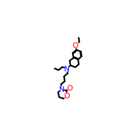 CCCN(CCCCN1CCCOC1=O)C1CCc2ccc(OCC)cc2C1